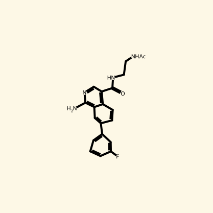 CC(=O)NCCNC(=O)c1cnc(N)c2cc(-c3cccc(F)c3)ccc12